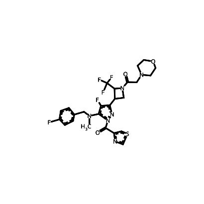 CN(Cc1ccc(F)cc1)c1c(F)c(C2CN(C(=O)CN3CCOCC3)C2C(F)(F)F)nn1C(=O)c1cscn1